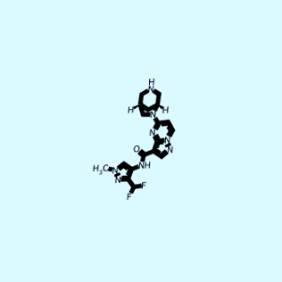 Cn1cc(NC(=O)c2cnn3ccc(N4C[C@@H]5CNC[C@H]4C5)nc23)c(C(F)F)n1